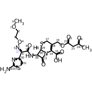 COCCO/N=C(\C(=O)N[C@@H]1C(=O)N2C(C(=O)O)=C(COC(=O)CC(C)=O)CS[C@H]12)c1csc(N)n1